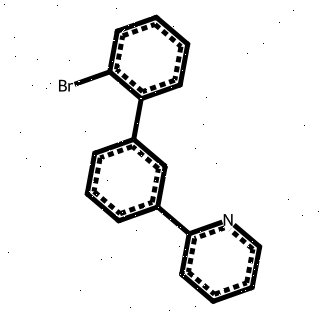 Brc1ccccc1-c1cccc(-c2ccccn2)c1